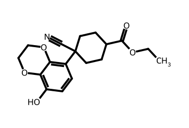 CCOC(=O)C1CCC(C#N)(c2ccc(O)c3c2OCCO3)CC1